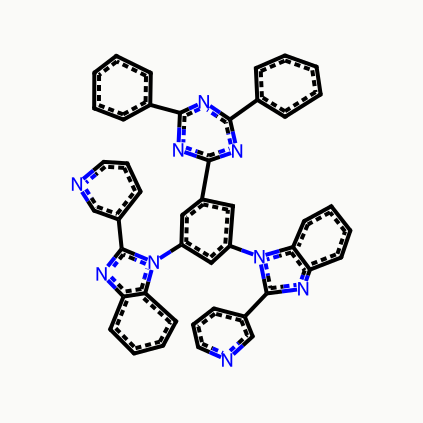 c1ccc(-c2nc(-c3ccccc3)nc(-c3cc(-n4c(-c5cccnc5)nc5ccccc54)cc(-n4c(-c5cccnc5)nc5ccccc54)c3)n2)cc1